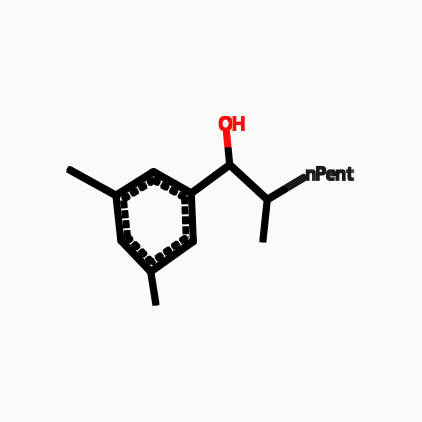 CCCCCC(C)C(O)c1cc(C)cc(C)c1